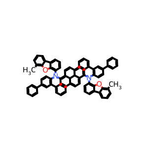 Cc1cccc2c1oc1c(N(C3=CC=C4C=CC5=C(N(c6ccc(-c7ccccc7)cc6-c6ccccc6)c6cccc7c6oc6c(C)cccc67)C=CC6=CC=C3C4C65)c3ccc(-c4ccccc4)cc3-c3ccccc3)cccc12